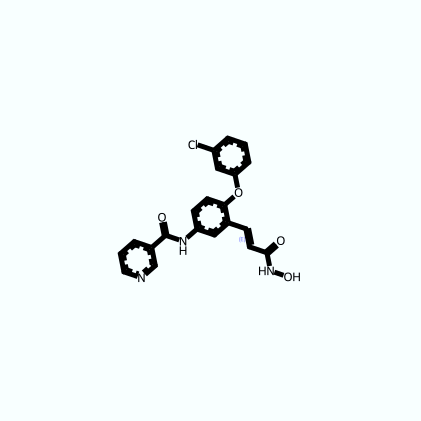 O=C(/C=C/c1cc(NC(=O)c2cccnc2)ccc1Oc1cccc(Cl)c1)NO